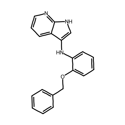 c1ccc(COc2ccccc2Nc2c[nH]c3ncccc23)cc1